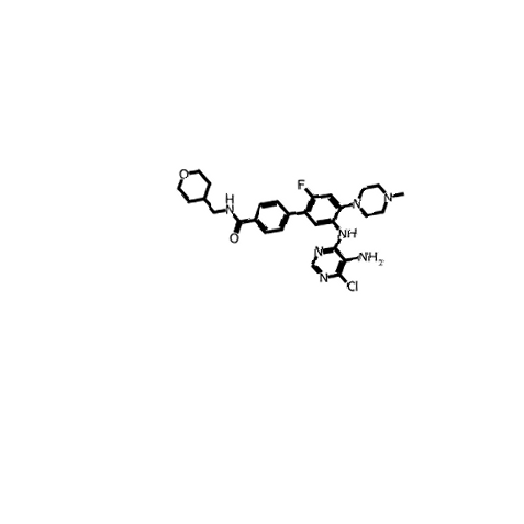 CN1CCN(c2cc(F)c(-c3ccc(C(=O)NCC4CCOCC4)cc3)cc2Nc2ncnc(Cl)c2N)CC1